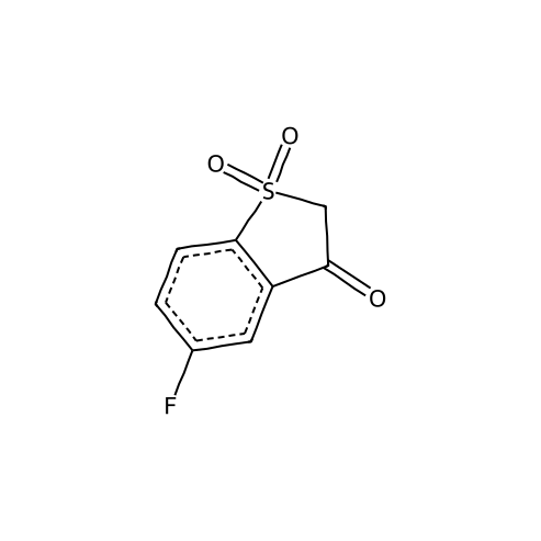 O=C1CS(=O)(=O)c2ccc(F)cc21